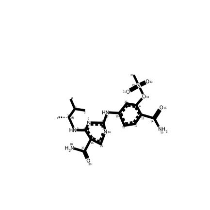 CC(C)[C@@H](C)Nc1nc(Nc2ccc(C(N)=O)c(OS(C)(=O)=O)c2)ncc1C(N)=O